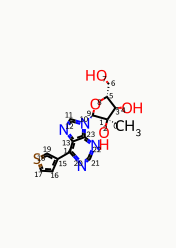 C[C@@]1(O)[C@H](O)[C@@H](CO)O[C@H]1n1cnc2c(-c3ccsc3)ncnc21